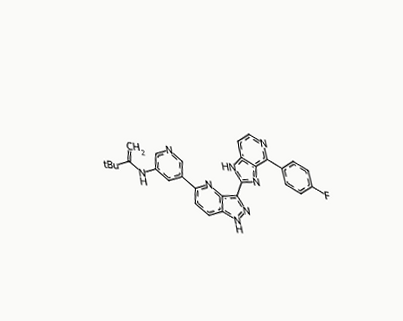 C=C(Nc1cncc(-c2ccc3[nH]nc(-c4nc5c(-c6ccc(F)cc6)nccc5[nH]4)c3n2)c1)C(C)(C)C